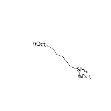 CCCCCCCCCCCC[SiH2]CCCCCCCC